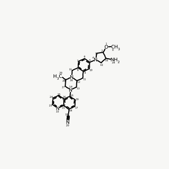 COC1CN(c2ccc3c(c2)CC2CN(c4ccc(C#N)c5ncccc45)CC(C)N2C3)CC1N